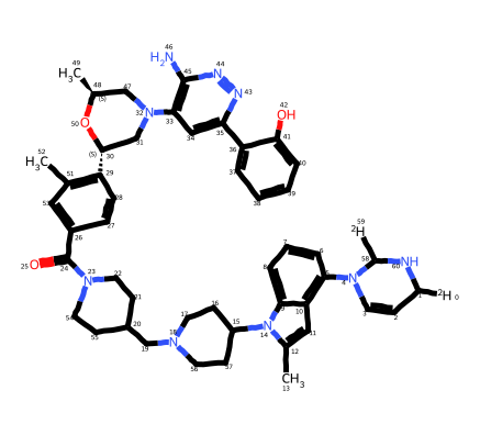 [2H]C1C=CN(c2cccc3c2cc(C)n3C2CCN(CC3CCN(C(=O)c4ccc([C@H]5CN(c6cc(-c7ccccc7O)nnc6N)C[C@H](C)O5)c(C)c4)CC3)CC2)C([2H])N1